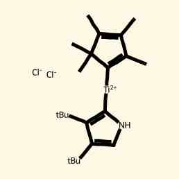 CC1=C(C)C(C)(C)[C]([Ti+2][c]2[nH]cc(C(C)(C)C)c2C(C)(C)C)=C1C.[Cl-].[Cl-]